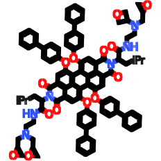 CC(C)CC(C(=O)NCCN(CC1CO1)CC1CO1)N1C(=O)c2cc(Oc3ccc(-c4ccccc4)cc3)c3c4c(Oc5ccc(-c6ccccc6)cc5)cc5c6c(cc(Oc7ccc(-c8ccccc8)cc7)c(c7c(Oc8ccc(-c9ccccc9)cc8)cc(c2c37)C1=O)c64)C(=O)N(C(CC(C)C)C(=O)NCCN(CC1CO1)C1COC1)C5=O